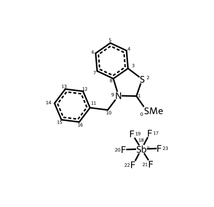 CSC1Sc2ccccc2N1Cc1ccccc1.[F][Sb-]([F])([F])([F])([F])[F]